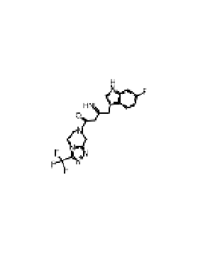 N=C(CC(=O)N1CCn2c(nnc2C(F)(F)F)C1)Cc1c[nH]c2cc(F)ccc12